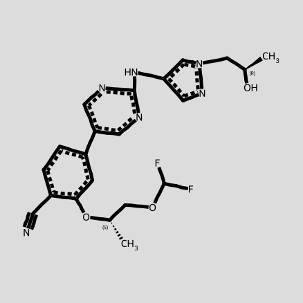 C[C@@H](O)Cn1cc(Nc2ncc(-c3ccc(C#N)c(O[C@@H](C)COC(F)F)c3)cn2)cn1